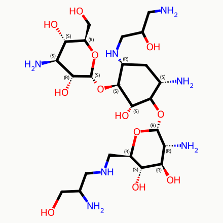 NCC(O)CN[C@@H]1C[C@H](N)C(O[C@H]2O[C@H](CNCC(N)CO)[C@@H](O)[C@H](O)[C@H]2N)[C@H](O)[C@H]1O[C@H]1O[C@H](CO)[C@@H](O)[C@H](N)[C@H]1O